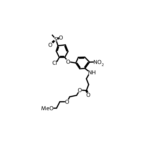 COCCOCCOC(=O)CCNc1cc(Oc2ccc(S(C)(=O)=O)cc2Cl)ccc1[N+](=O)[O-]